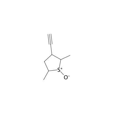 C#CC1CC(C)[S+]([O-])C1C